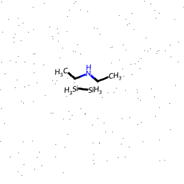 CCNCC.[SiH3][SiH3]